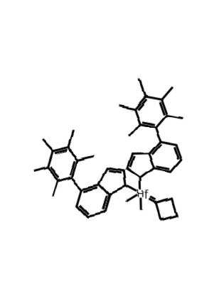 Cc1c(C)c(C)c(-c2cccc3c2C=C[CH]3[Hf]([CH3])([CH3])(=[C]2CCC2)[CH]2C=Cc3c(-c4c(C)c(C)c(C)c(C)c4C)cccc32)c(C)c1C